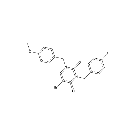 COc1ccc(Cn2cc(Br)c(=O)n(Cc3ccc(F)cc3)c2=O)cc1